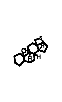 C[C@]12CCCCC1CC[C@H]1[C@@H]3CCC4SC[C@@]43CC[C@@H]12